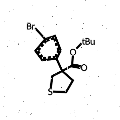 CC(C)(C)OC(=O)C1(c2ccc(Br)cc2)CCSC1